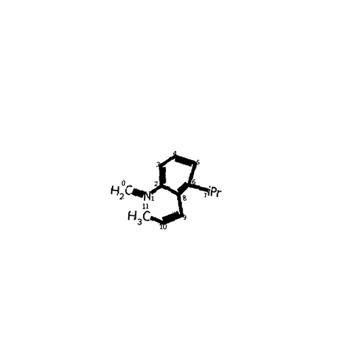 C=Nc1cccc(C(C)C)c1/C=C\C